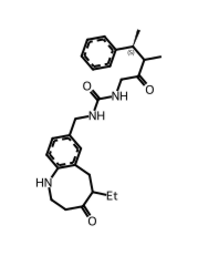 CCC1Cc2cc(CNC(=O)NCC(=O)C(C)[C@H](C)c3ccccc3)ccc2NCCC1=O